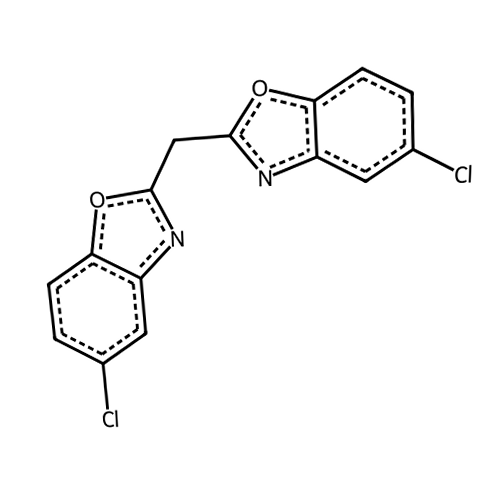 Clc1ccc2oc(Cc3nc4cc(Cl)ccc4o3)nc2c1